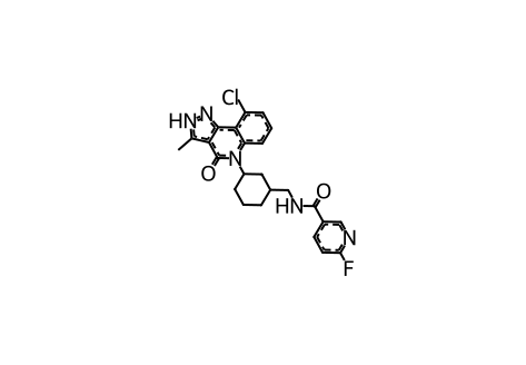 Cc1[nH]nc2c1c(=O)n(C1CCCC(CNC(=O)c3ccc(F)nc3)C1)c1cccc(Cl)c21